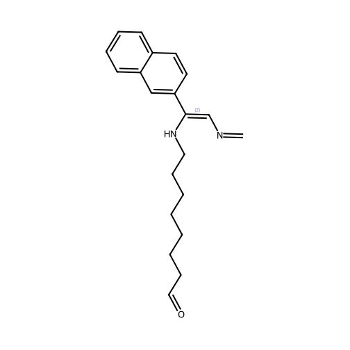 C=N/C=C(\NCCCCCCCC=O)c1ccc2ccccc2c1